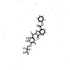 CC1=C(OCC(F)(F)C(F)F)NNC(C(C)N2Cc3c(ccnc3C(=O)Oc3ccccc3)C2=O)=C1